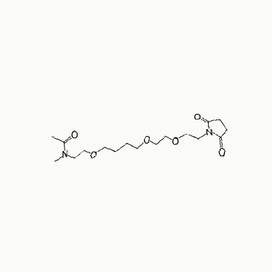 CC(=O)N(C)CCOCCCCOCCOCCN1C(=O)CCC1=O